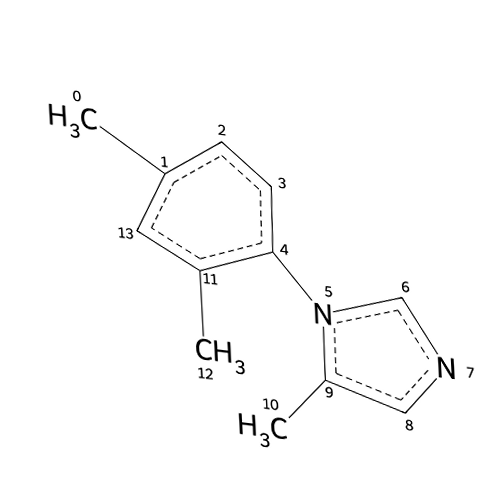 Cc1ccc(-n2cncc2C)c(C)c1